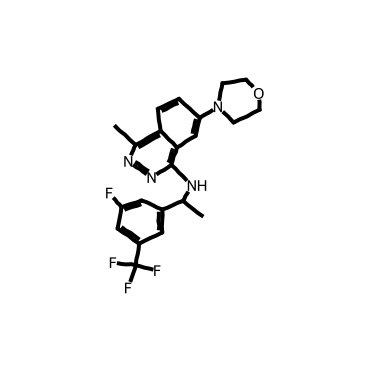 Cc1nnc(NC(C)c2cc(F)cc(C(F)(F)F)c2)c2cc(N3CCOCC3)ccc12